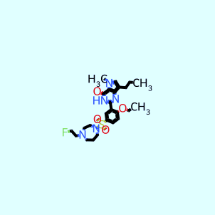 CCCc1cn(C)c2c(=O)[nH]c(-c3cc(S(=O)(=O)N4CCCN(CCF)CC4)ccc3OCC)nc12